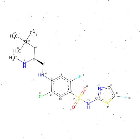 CN[C@H](CNc1cc(F)c(S(=O)(=O)Nc2ncc(F)s2)cc1Cl)C[Si](C)(C)C